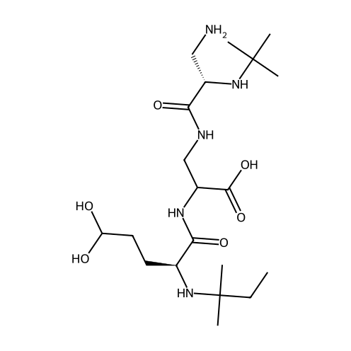 CCC(C)(C)N[C@@H](CCC(O)O)C(=O)NC(CNC(=O)[C@H](CN)NC(C)(C)C)C(=O)O